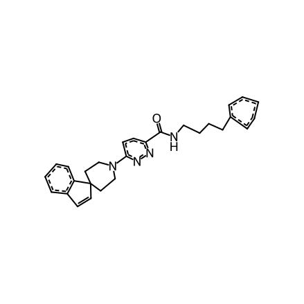 O=C(NCCCCc1ccccc1)c1ccc(N2CCC3(C=Cc4ccccc43)CC2)nn1